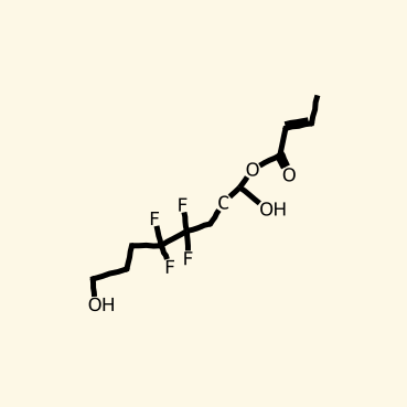 CC=CC(=O)OC(O)CCC(F)(F)C(F)(F)CCCO